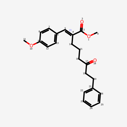 COC(=O)/C(=C/c1ccc(OC)cc1)CCCC(=O)CCc1ccccc1